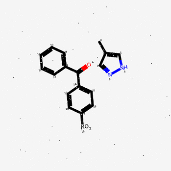 Cc1cn[nH]c1.O=C(c1ccccc1)c1ccc([N+](=O)[O-])cc1